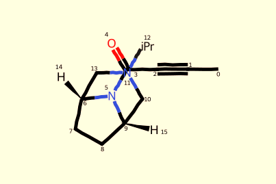 CC#CC(=O)N1[C@@H]2CC[C@H]1CN(C(C)C)C2